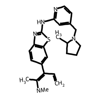 C=C/C(=C(/C)NC)c1ccc2nc(Nc3cc(CN4CCCC4C)ccn3)sc2c1